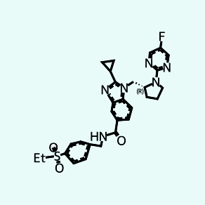 CCS(=O)(=O)c1ccc(CNC(=O)c2ccc3c(c2)nc(C2CC2)n3C[C@H]2CCCN2c2ncc(F)cn2)cc1